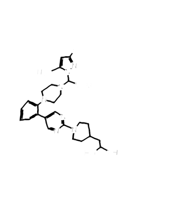 Cc1cc(C)n(C(C=O)N2CCN(c3ccccc3-c3cnc(N4CCC(CC(C)O)CC4)nc3)CC2)n1